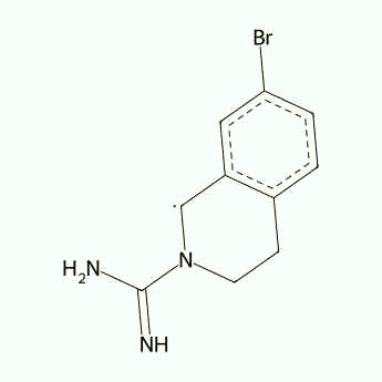 N=C(N)N1[CH]c2cc(Br)ccc2CC1